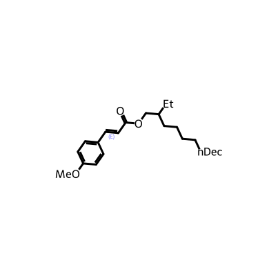 CCCCCCCCCCCCCCC(CC)COC(=O)/C=C/c1ccc(OC)cc1